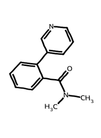 CN(C)C(=O)c1ccccc1-c1cccnc1